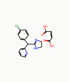 Clc1ccc(C(C2=NCCN2)c2ccccn2)cc1.O=C(O)/C=C\C(=O)O